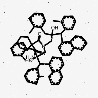 Cc1ccccc1CC(O)(CN(CC(O)(Cc1ccccc1C)C(c1ccccc1C)c1cccc2ccccc12)C(=O)C1(C(N)=O)CCCCC1)C(c1ccccc1C)c1cccc2ccccc12